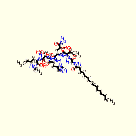 CCCCCCCCCCCCCCCC(=O)NCC(=O)N[C@H](C(=O)N[C@@H](CCC(N)=O)[C@H](O)N[C@@H](Cc1c[nH]cn1)C(=O)N[C@@H](CO)C(=O)N[C@@H](CCCC)[C@H](O)NC)[C@H](C)O